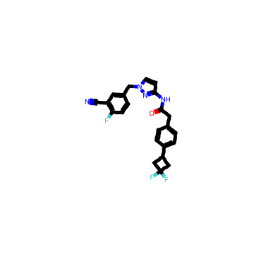 N#Cc1cc(Cn2ccc(NC(=O)Cc3ccc(C4CC(F)(F)C4)cc3)n2)ccc1F